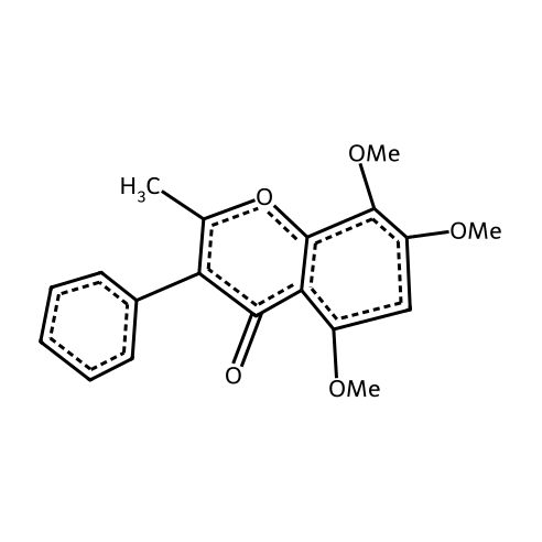 COc1cc(OC)c2c(=O)c(-c3ccccc3)c(C)oc2c1OC